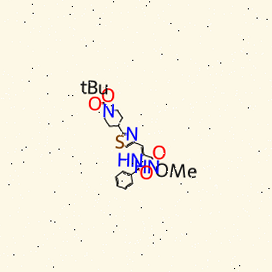 CONC(=O)/C(=C/c1csc(C2CCN(C(=O)OC(C)(C)C)CC2)n1)NC(=O)c1ccccc1